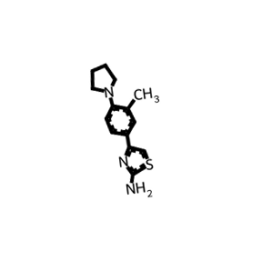 Cc1cc(-c2csc(N)n2)ccc1N1CCCC1